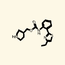 CCc1csc(-c2ccccc2NC(=O)OCC2CCNCC2)n1